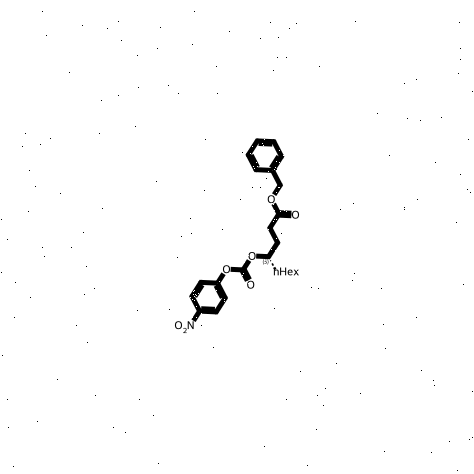 CCCCCC[C@@H](CCC(=O)OCc1ccccc1)OC(=O)Oc1ccc([N+](=O)[O-])cc1